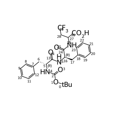 CC(C)(C)OC(=O)N[C@H](Cc1ccccc1)C(=O)N[C@H](Cc1ccccc1)C(=O)NC(CC(F)(F)F)C(=O)O